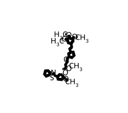 COc1ccc(-c2nc3ccccc3s2)cc1OCC(CCOc1cccc(C=Cc2cc(OC)c(OC)c(OC)c2)c1)OC